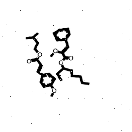 CCCCCC(CC)OC(=O)C(=Cc1ccccc1)OC.COc1ccc(C=CC(=O)OCCC(C)C)cc1